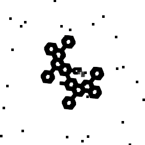 Cc1cc2c(-c3ccccc3)cc3c4ccccc4c(-c4ccccc4)cc3c2cc1-c1cc2c(-c3ccccc3)cc3c4ccccc4c(-c4ccccc4)cc3c2cc1C(F)(F)F